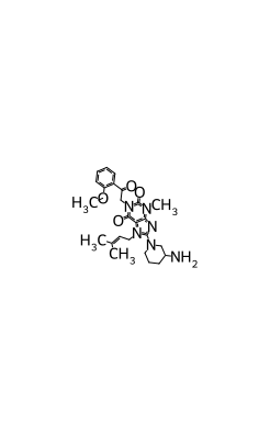 COc1ccccc1C(=O)Cn1c(=O)c2c(nc(N3CCCC(N)C3)n2CC=C(C)C)n(C)c1=O